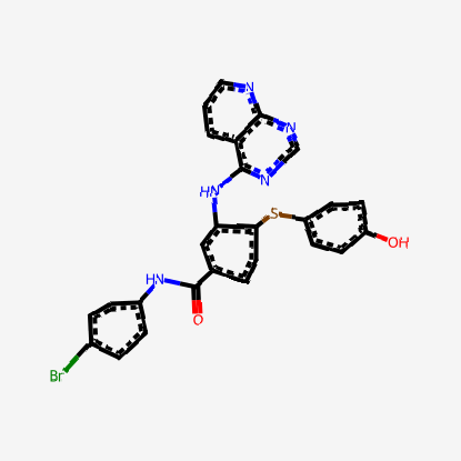 O=C(Nc1ccc(Br)cc1)c1ccc(Sc2ccc(O)cc2)c(Nc2ncnc3ncccc23)c1